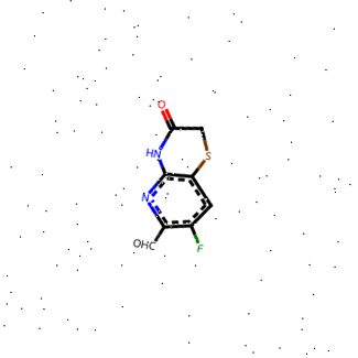 O=Cc1nc2c(cc1F)SCC(=O)N2